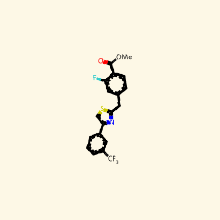 COC(=O)c1ccc(Cc2nc(-c3cccc(C(F)(F)F)c3)cs2)cc1F